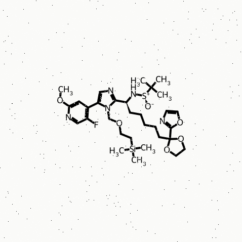 COc1cc(-c2cnc([C@H](CCCCCC3(c4ncco4)OCCO3)N[S@+]([O-])C(C)(C)C)n2COCC[Si](C)(C)C)c(F)cn1